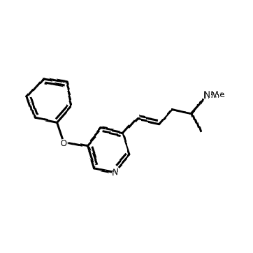 CNC(C)C/C=C/c1cncc(Oc2ccccc2)c1